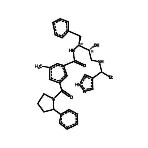 CCC(NC[C@@H](O)[C@H](Cc1ccccc1)NC(=O)c1cc(C)cc(C(=O)N2CCCC2c2ccccc2)c1)c1cn[nH]c1